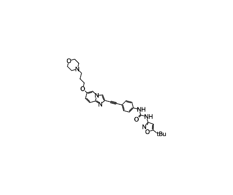 CC(C)(C)c1cc(NC(=O)Nc2ccc(C#Cc3cn4cc(OCCCN5CCOCC5)ccc4n3)cc2)no1